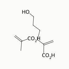 C=C(C)C(=O)O.C=C(CCCCO)C(=O)O